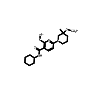 CCCSc1nc(N2CCCC(C)(OC(=O)O)C2)ccc1C(=O)NC1CCCCC1